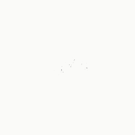 CCCCN1CCN(C(=O)COC(C)=O)CC1